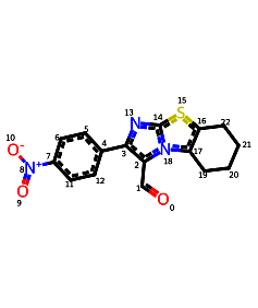 O=Cc1c(-c2ccc([N+](=O)[O-])cc2)nc2sc3c(n12)CCCC3